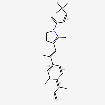 C=C/C(C)=C(C)/C=C\C(=C/CC)C(\C)=C\C1=C(C)N(C(=C)/C=C\C(C)(C)C)CC1